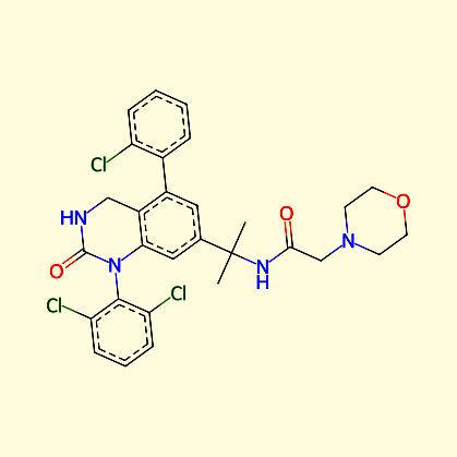 CC(C)(NC(=O)CN1CCOCC1)c1cc(-c2ccccc2Cl)c2c(c1)N(c1c(Cl)cccc1Cl)C(=O)NC2